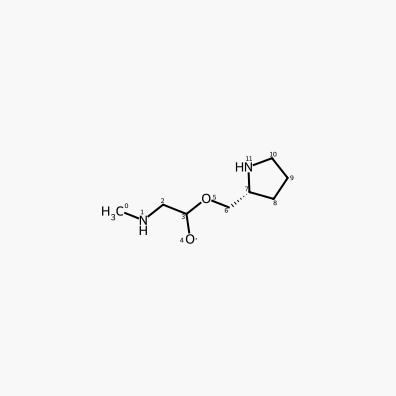 CNCC([O])OC[C@H]1CCCN1